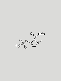 COC(=O)[C@@H]1C(OS(=O)(=O)C(F)(F)F)=CCN1C